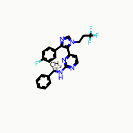 C[C@H](Nc1nccc(-c2c(-c3ccc(F)cc3)ncn2CCC(F)(F)F)n1)c1ccccc1